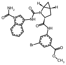 COC(=O)c1cc(Br)cc(NC(=O)[C@@H]2C[C@H]3C[C@H]3N2C(=O)Nc2cn(C(N)=O)c3ccccc23)c1